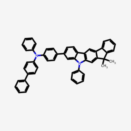 CC1(C)c2ccccc2-c2cc3c4ccc(-c5ccc(N(c6ccccc6)c6ccc(-c7ccccc7)cc6)cc5)cc4n(-c4ccccc4)c3cc21